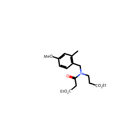 CCOC(=O)CCN(Cc1ccc(OC)cc1C)C(=O)CC(=O)OCC